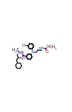 CNCC(CC1CCCCC1)NC(=O)c1cccc(N(CCCNC(=O)OC)c2cccc(Cl)c2)c1